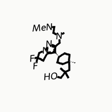 CNCCN(C)Cc1nn2c(c1[C@H]1CC[C@](C)(CC(C)(C)CO)CC1)CC(F)(F)C2